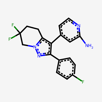 Nc1cc(-c2c(-c3ccc(F)cc3)nn3c2CCC(F)(F)C3)ccn1